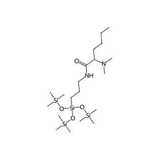 CCCCC(C(=O)NCCC[Si](O[Si](C)(C)C)(O[Si](C)(C)C)O[Si](C)(C)C)N(C)C